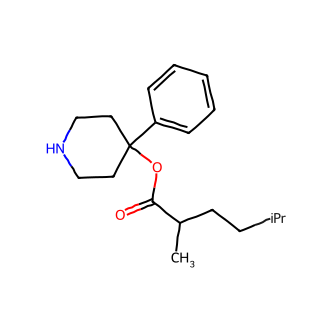 CC(C)CCC(C)C(=O)OC1(c2ccccc2)CCNCC1